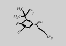 CC(C)(C)c1cc([C@@H](O)CCN)cc(Cl)c1F